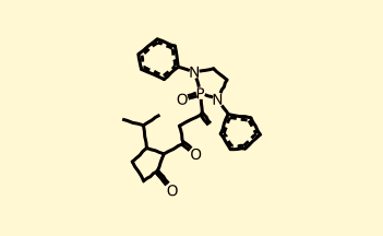 C=C(CC(=O)C1C(=O)CCC1C(C)C)P1(=O)N(c2ccccc2)CCN1c1ccccc1